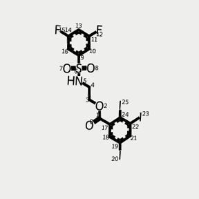 O=C(OCCNS(=O)(=O)c1cc(F)cc(F)c1)c1cc(I)cc(I)c1I